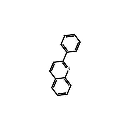 [c]1cccc(-c2ccc3ccccc3n2)c1